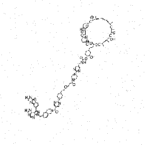 CO[C@H]1CC2CC[C@@H](C)[C@@](O)(O2)C(=O)C(=O)N2CCCC[C@H]2C(=O)O[C@H](CC[C@@H]2CC[C@@H](OC(=O)NCc3cnc(N4CCN(C(=O)CCOCCN5CCN(c6ncc(C(=O)N7CCc8cc(Cn9nc(-c%10ccc%11oc(N)nc%11c%10)c%10c(N)ncnc%109)ccc8C7)cn6)CC5)CC4)nc3)[C@H](OC)C2)CC[C@H](C)/C=C(\C)[C@@H](O)CC(=O)[C@H](C)C[C@H](C)/C=C/C=C/C=C/1C